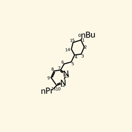 CCCCC1CCC(CCc2ccc(CCC)nn2)CC1